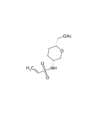 C=CS(=O)(=O)N[C@@H]1[CH][CH][C@H](COC(C)=O)O[CH]1